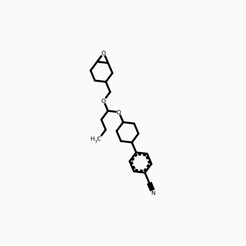 CCCC(OCC1CCC2OC2C1)OC1CCC(c2ccc(C#N)cc2)CC1